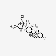 CC1=C2C[C@H]3C(CCC4=CC(=O)CC[C@@]43C)[C@@H]2CC[C@@]2(C1)O[C@@H]1C[C@H](C)CN(CCCl)[C@H]1[C@H]2C